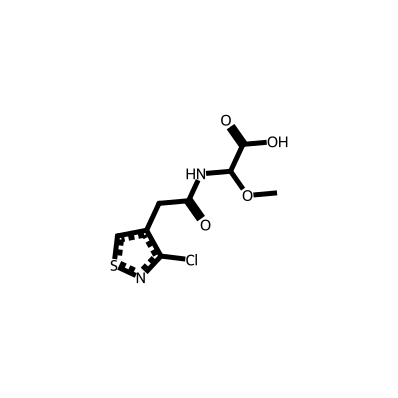 COC(NC(=O)Cc1csnc1Cl)C(=O)O